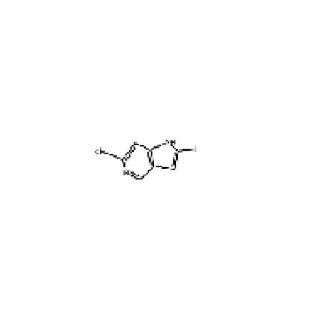 Clc1cc2[nH]c(I)cc2cn1